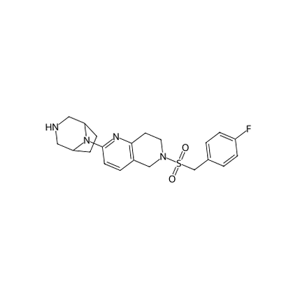 O=S(=O)(Cc1ccc(F)cc1)N1CCc2nc(N3C4CCC3CNC4)ccc2C1